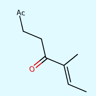 C/C=C(\C)C(=O)CCC(C)=O